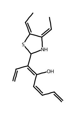 C=C/C=C\C(O)=C(/C=C)C1NC(=C/C)/C(=C\C)S1